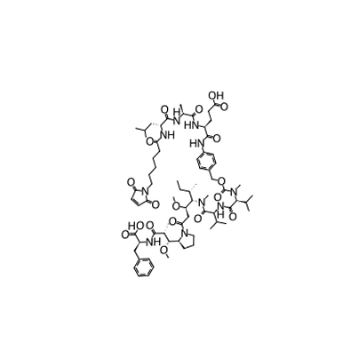 CC[C@H](C)[C@@H]([C@@H](CC(=O)N1CCC[C@H]1[C@H](OC)[C@@H](C)C(=O)N[C@@H](Cc1ccccc1)C(=O)O)OC)N(C)C(=O)[C@@H](NC(=O)[C@H](C(C)C)N(C)C(=O)OCc1ccc(NC(=O)[C@H](CCC(=O)O)NC(=O)[C@H](C)NC(=O)[C@@H](CC(C)C)NC(=O)CCCCCN2C(=O)C=CC2=O)cc1)C(C)C